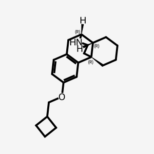 c1cc2c(cc1OCC1CCC1)[C@@]13CCCC[C@H]1[C@@H](C2)NCC3